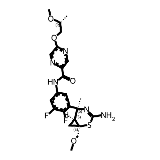 COC[C@]12C[C@H]1[C@@](C)(c1cc(NC(=O)c3cnc(OC[C@@H](C)OC)cn3)cc(F)c1F)N=C(N)S2